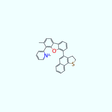 Cc1ccc2c(oc3c(-c4cc5ccccc5c5c4CCS5)cccc32)c1-c1cccc[n+]1C